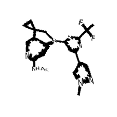 CC(=O)Nc1cc2c(cn1)C1(CC1)CN2c1cc(-c2cnn(C)c2)nc(C(C)(F)F)n1